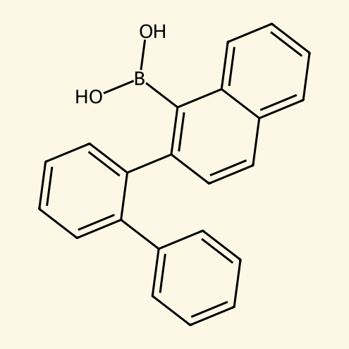 OB(O)c1c(-c2ccccc2-c2ccccc2)ccc2ccccc12